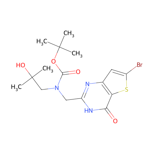 CC(C)(O)CN(Cc1nc2cc(Br)sc2c(=O)[nH]1)C(=O)OC(C)(C)C